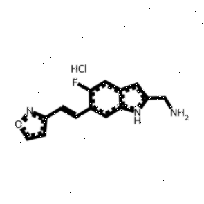 Cl.NCc1cc2cc(F)c(C=Cc3ccon3)cc2[nH]1